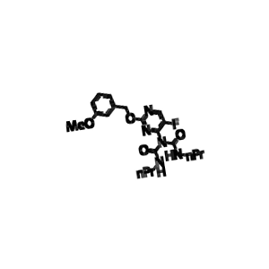 CCCNC(=O)N(C(=O)NCCC)c1nc(OCc2cccc(OC)c2)ncc1F